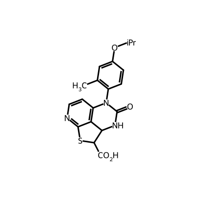 Cc1cc(OC(C)C)ccc1N1C(=O)NC2c3c1ccnc3SC2C(=O)O